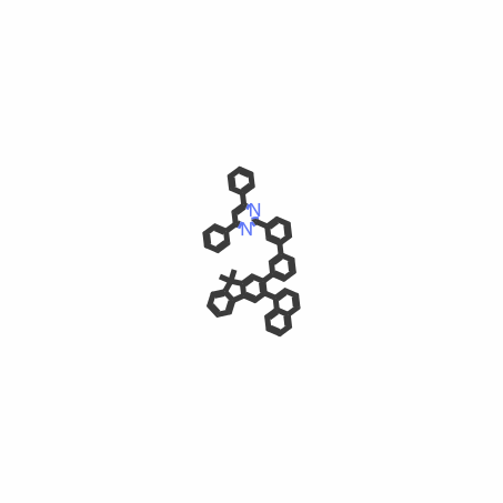 CC1(C)c2ccccc2-c2cc(-c3cccc4ccccc34)c(-c3cccc(-c4cccc(-c5nc(-c6ccccc6)cc(-c6ccccc6)n5)c4)c3)cc21